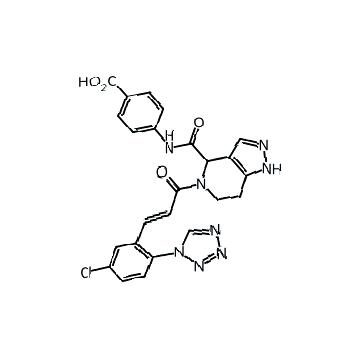 O=C(O)c1ccc(NC(=O)C2c3cn[nH]c3CCN2C(=O)C=Cc2cc(Cl)ccc2-n2cnnn2)cc1